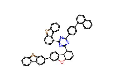 C1=CC2Oc3cc(-c4ccc5c(c4)sc4ccccc45)ccc3C2C(c2nc(-c3ccc(-c4cccc5ccccc45)cc3)nc(-c3cccc4sc5ccccc5c34)n2)=C1